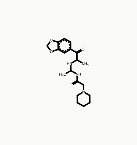 CC(NC(=O)CN1CCCCC1)NC(C)C(=O)c1ccc2c(c1)OCO2